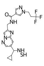 O=C(NCc1cn2ncc(C(NS)C3CC3)cc2n1)c1cnn(CCC(F)(F)F)c1